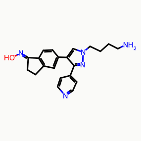 NCCCCn1cc(-c2ccc3c(c2)CCC3=NO)c(-c2ccncc2)n1